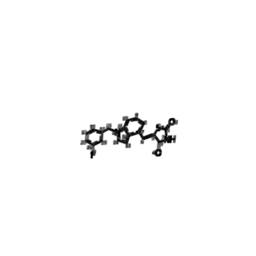 O=C1NC(=O)/C(=C/c2cccc3c2ccn3Cc2cccc(F)c2)S1